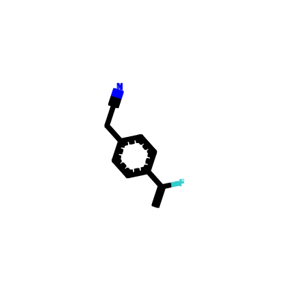 C=C(F)c1ccc(CC#N)cc1